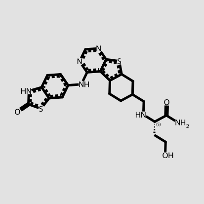 NC(=O)[C@H](CCO)NCC1CCc2c(sc3ncnc(Nc4ccc5[nH]c(=O)sc5c4)c23)C1